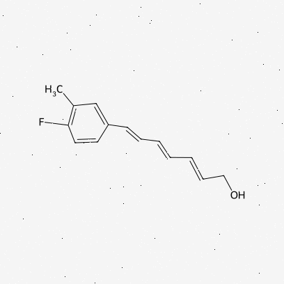 Cc1cc(C=C/C=C/C=C/CO)ccc1F